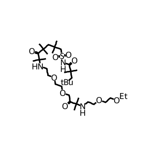 CCOCCOCCNC(C)(C)C(=O)COCCOCCNC(C)(C)C(=O)C(C)(C)CC(C)(C)CS(=O)(=O)NC(=O)C(C)(C)CC(C)(C)C